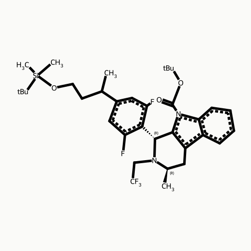 CC(CCO[Si](C)(C)C(C)(C)C)c1cc(F)c([C@@H]2c3c(c4ccccc4n3C(=O)OC(C)(C)C)C[C@@H](C)N2CC(F)(F)F)c(F)c1